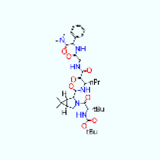 CCCC(NC(=O)C1[C@@H]2[C@H](CN1C(=O)[C@@H](NC(=O)OC(C)(C)C)C(C)(C)C)C2(C)C)C(=O)C(=O)NCC(=O)N[C@H](C(=O)N(C)C)c1ccccc1